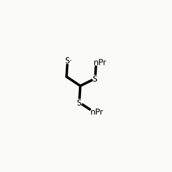 CCCSC(C[S])SCCC